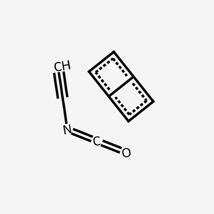 C#CN=C=O.c1cc2ccc1-2